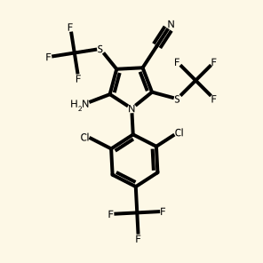 N#Cc1c(SC(F)(F)F)c(N)n(-c2c(Cl)cc(C(F)(F)F)cc2Cl)c1SC(F)(F)F